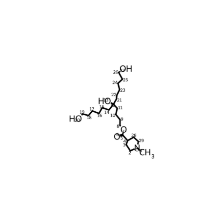 CN1CCC(C(=O)OCCCCC(O)(CCCCCCO)CCCCCCO)CC1